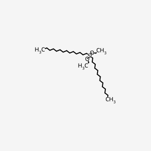 CCCCCCCCCCCCCC[Si](CCCCCCCCCCCCCC)(OCC)OCC